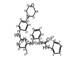 O=C(Nc1ccccc1F)Nc1ccccc1Nc1nc(Nc2ccc(N3CCOCC3)cc2)ncc1I